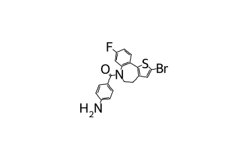 Nc1ccc(C(=O)N2CCc3cc(Br)sc3-c3ccc(F)cc32)cc1